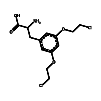 NC(Cc1cc(OCCCl)cc(OCCCl)c1)C(=O)O